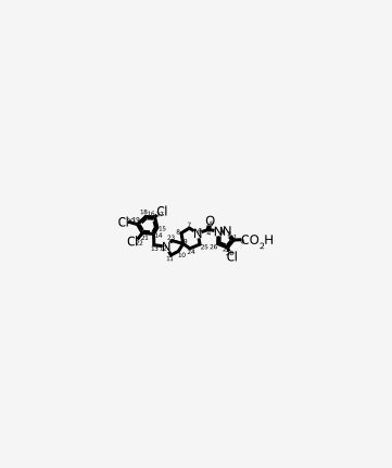 O=C(O)c1nn(C(=O)N2CCC3(CCN(Cc4cc(Cl)cc(Cl)c4Cl)C3)CC2)cc1Cl